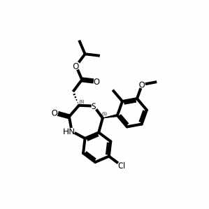 COc1cccc([C@@H]2S[C@@H](CC(=O)OC(C)C)C(=O)Nc3ccc(Cl)cc32)c1C